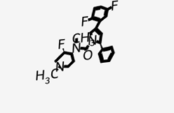 CN1CC[C@@H](N(C)C(=O)N2CC(c3cc(F)ccc3F)=C[C@H]2c2ccccc2)[C@@H](F)C1